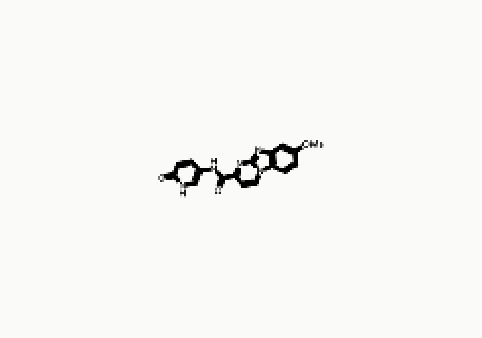 COc1ccc2c(c1)nc1nc(C(=O)Nc3ccc(=O)[nH]c3)ccn12